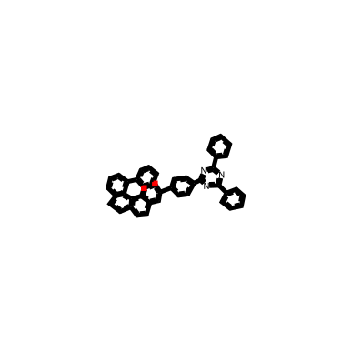 c1ccc(-c2nc(-c3ccccc3)nc(-c3ccc(-c4ccc5c(ccc6ccc7cccc(-c8ccccc8)c7c65)c4)cc3)n2)cc1